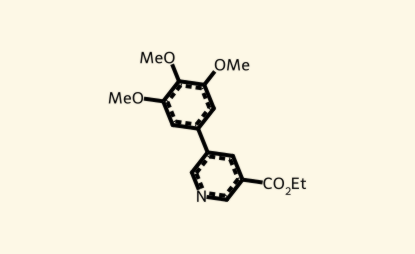 CCOC(=O)c1cncc(-c2cc(OC)c(OC)c(OC)c2)c1